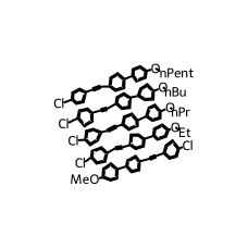 CCCCCOc1ccc(-c2ccc(C#Cc3ccc(Cl)cc3)cc2)cc1.CCCCOc1ccc(-c2ccc(C#Cc3ccc(Cl)cc3)cc2)cc1.CCCOc1ccc(-c2ccc(C#Cc3ccc(Cl)cc3)cc2)cc1.CCOc1ccc(-c2ccc(C#Cc3ccc(Cl)cc3)cc2)cc1.COc1ccc(-c2ccc(C#Cc3ccc(Cl)cc3)cc2)cc1